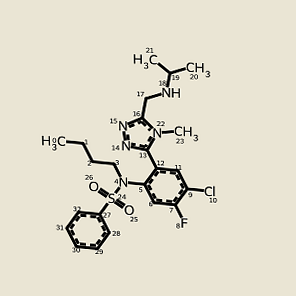 CCCCN(c1cc(F)c(Cl)cc1-c1nnc(CNC(C)C)n1C)S(=O)(=O)c1ccccc1